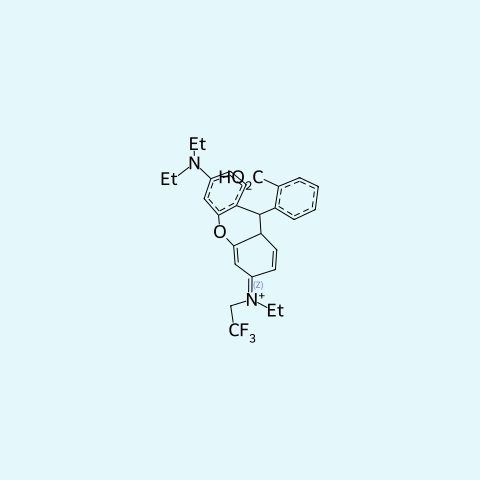 CCN(CC)c1ccc2c(c1)OC1=C/C(=[N+](/CC)CC(F)(F)F)C=CC1C2c1ccccc1C(=O)O